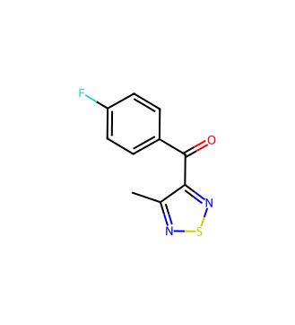 Cc1nsnc1C(=O)c1ccc(F)cc1